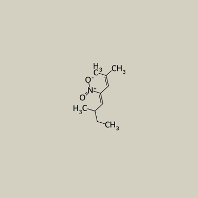 CCC(C)C=C(C=C(C)C)[N+](=O)[O-]